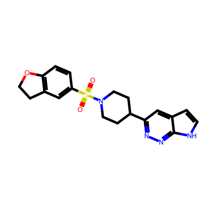 O=S(=O)(c1ccc2c(c1)CCO2)N1CCC(c2cc3cc[nH]c3nn2)CC1